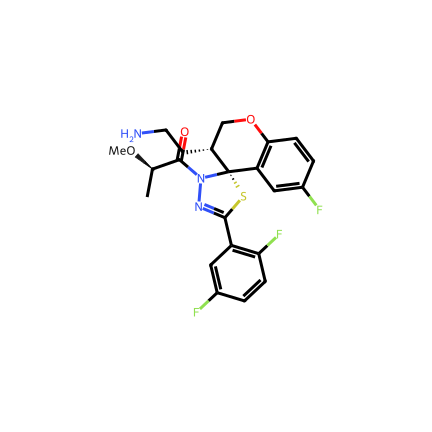 CO[C@H](C)C(=O)N1N=C(c2cc(F)ccc2F)S[C@]12c1cc(F)ccc1OC[C@H]2CCN